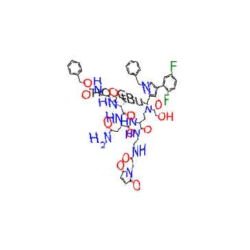 CC(C)(C)C(c1cc(-c2cc(F)ccc2F)cn1Cc1ccccc1)N(CCC(NC(=O)C(CC(N)=O)NC(=O)[C@@H](CC(=O)O)NC(=O)CNC(=O)OCc1ccccc1)C(=O)NCCNC(=O)CN1C(=O)C=CC1=O)C(=O)CO